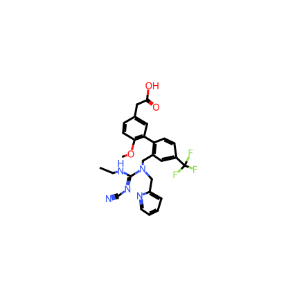 CCNC(=NC#N)N(Cc1ccccn1)Cc1cc(C(F)(F)F)ccc1-c1cc(CC(=O)O)ccc1OC